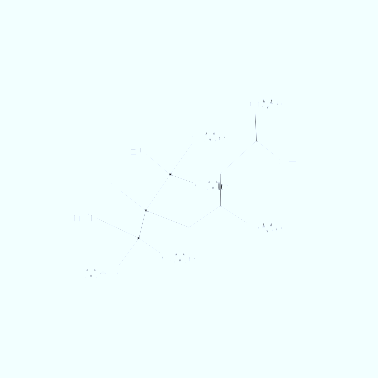 CCCC(OC)(OC)C(C)(CC(CC(C)OC)OC)C(CC)(OC)OC